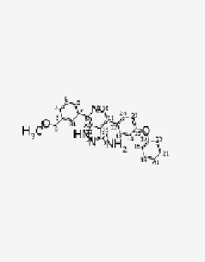 COCc1cccc(-c2ncc(-c3ccc(Oc4ccccc4)cc3)c3c(N)n[nH]c23)c1